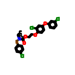 CCN(Sc1ccc(Cl)cc1)C(=O)OCCOc1ccc(Oc2cccc(Cl)c2)cc1Cl